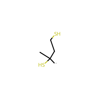 [CH2]C(C)(S)CCS